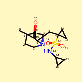 CC12CCN(CC1)C(CC1(S(=O)(=O)NC3CC3)CC1)C2=O